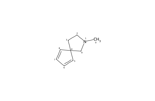 CN1CCC2(C=CC=C2)C1